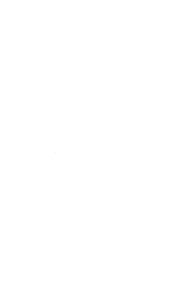 Cc1ccc2c(=O)c3cc4c(=O)c5cc(C)ccc5c(=O)c4cc3c(=O)c2c1